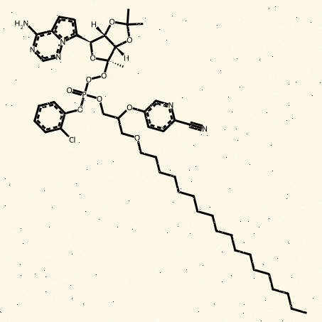 CCCCCCCCCCCCCCCCCCOCC(COP(=O)(OO[C@@]1(C)O[C@@H](c2ccc3c(N)ncnn23)[C@@H]2OC(C)(C)O[C@@H]21)Oc1ccccc1Cl)Oc1ccc(C#N)nc1